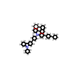 c1ccc(-c2ccc(-c3ccc(N(c4ccc(-c5ccc6c(c5)c5ccccc5n6-c5ccccc5)cc4)c4ccccc4-c4cccc5cccc(C6CCCCC6)c45)cc3)cc2)cc1